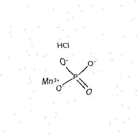 Cl.O=P([O-])([O-])[O-].[Mn+3]